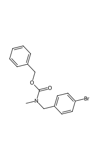 CN(Cc1ccc(Br)cc1)C(=O)OCc1ccccc1